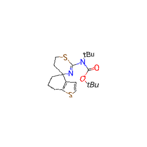 CC(C)(C)OC(=O)N(C1=NC2(CCCc3sccc32)CCS1)C(C)(C)C